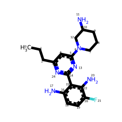 CCCc1cc(N2CCCC(N)C2)nc(-c2c(N)ccc(F)c2N)n1